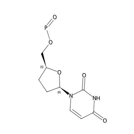 O=POC[C@@H]1CC[C@H](n2ccc(=O)[nH]c2=O)O1